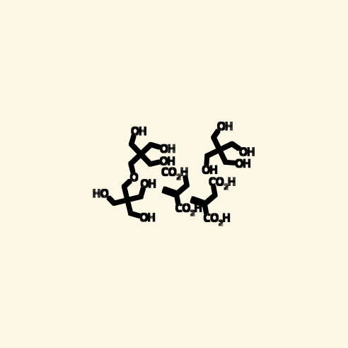 C=C(CC(=O)O)C(=O)O.C=C(CC(=O)O)C(=O)O.OCC(CO)(CO)CO.OCC(CO)(CO)COCC(CO)(CO)CO